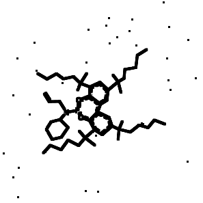 C=CCN(C1CCCCC1)p1oc2c(C(C)(C)CCCCC)cc(C(C)(C)CCCCC)cc2c2cc(C(C)(C)CCCCC)cc(C(C)(C)CCCCC)c2o1